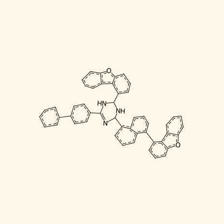 c1ccc(-c2ccc(C3=NC(c4cccc5c(-c6cccc7oc8ccccc8c67)cccc45)NC(c4cccc5oc6ccccc6c45)N3)cc2)cc1